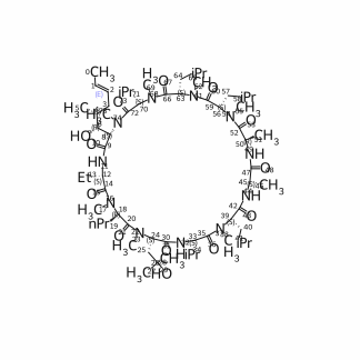 C/C=C/C[C@@H](C)[C@@H](O)[C@H]1C(=O)N[C@@H](CC)C(=O)N(C)[C@H](CCC)C(=O)N(C)[C@@H](CC(C)(C)O)C(=O)N[C@@H](C(C)C)C(=O)N(C)[C@@H](CC(C)C)C(=O)N[C@@H](C)C(=O)N[C@H](C)C(=O)N(C)[C@@H](CC(C)C)C(=O)N(C)[C@@H](CC(C)C)C(=O)N(C)[C@@H](C(C)C)C(=O)N1C